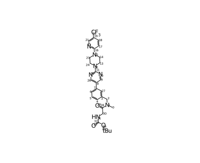 CN(Cc1cccc(-c2cnc(N3CCN(c4ccc(C(F)(F)F)cn4)CC3)nc2)c1)C(=O)CNC(=O)OC(C)(C)C